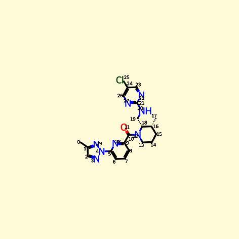 Cc1cnn(-c2cccc(C(=O)N3CCC[C@@H](C)[C@H]3CNc3ncc(Cl)cn3)n2)n1